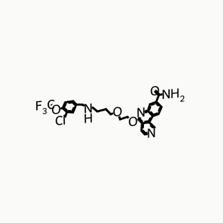 NC(=O)c1ccc2c(c1)nc(OCCOCCCCNCc1ccc(OC(F)(F)F)c(Cl)c1)c1ccncc12